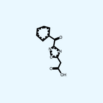 O=C(O)Cc1nc(C(=O)c2ccccc2)no1